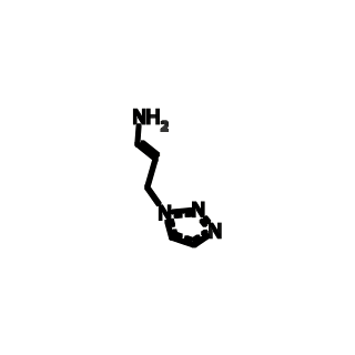 N/C=C/Cn1ccnn1